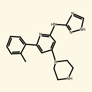 Cc1ccccc1-c1cc(N2CCNCC2)cc(Nc2nc[nH]n2)n1